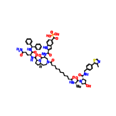 Cc1ncsc1-c1ccc(CNC(=O)[C@@H]2C[C@@H](O)CN2C(=O)[C@@H](NC(=O)CCCCCCCCCC(=O)N2CC[C@H]3CC[C@@H](C(=O)N[C@@H](CCC(N)=O)C(=O)NC(c4ccccc4)c4ccccc4)N3C(=O)C(NC(=O)c3cc4cc(C(=O)P(=O)(O)O)ccc4[nH]3)C2)C(C)(C)C)cc1